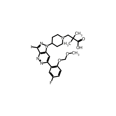 COCOc1ccc(F)cc1-c1cc2c(nn1)c(I)nn2C1CCN(CC(C)(C)C(=O)O)CC1